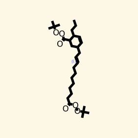 CCCC1C=CC(C/C=C/CCCCCCCC(=O)OOC(C)(C)C)CC1C(=O)OOC(C)(C)C